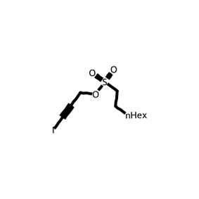 CCCCCCCCS(=O)(=O)OCC#CI